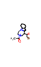 O=C(CBr)C1CN(C(=O)C(F)(F)F)CCn2c1cc1ccccc12